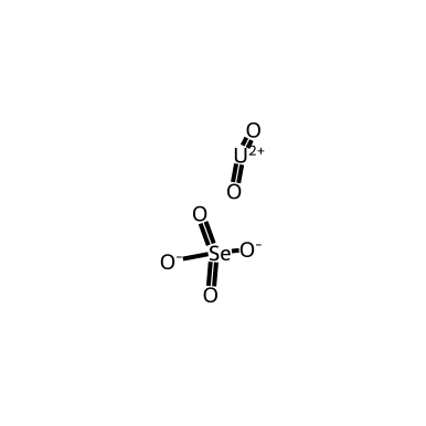 O=[Se](=O)([O-])[O-].[O]=[U+2]=[O]